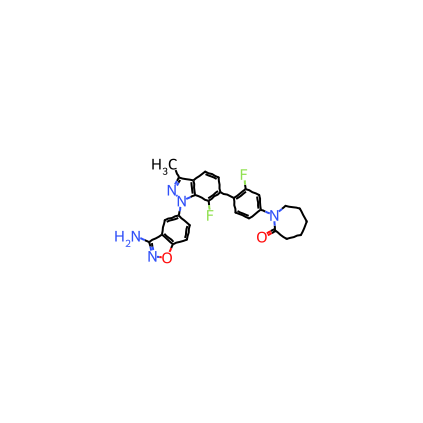 Cc1nn(-c2ccc3onc(N)c3c2)c2c(F)c(-c3ccc(N4CCCCCC4=O)cc3F)ccc12